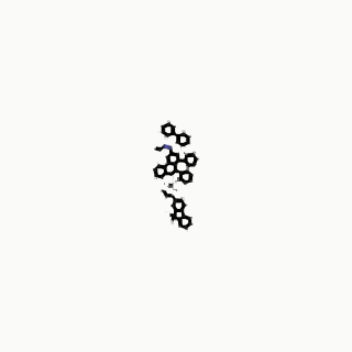 C=C/C=C\c1cc2c3ccccc3c3c(c4ccccc4n3-c3nccc(-c4ccc5c(c4)C(C)(C)c4ccccc4-5)n3)c2c2c3ccccc3n(-c3cccc(-c4ccccc4)c3)c12